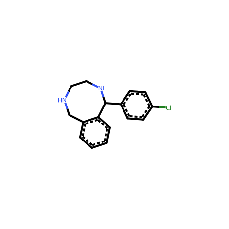 Clc1ccc(C2NCCNCc3ccccc32)cc1